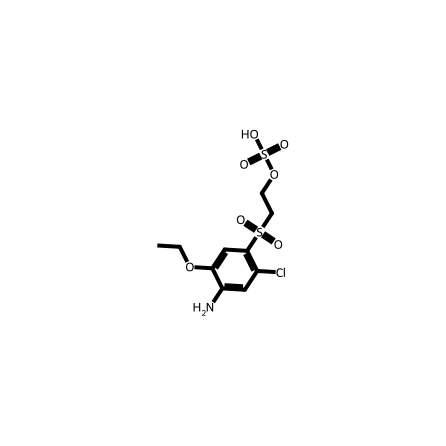 CCOc1cc(S(=O)(=O)CCOS(=O)(=O)O)c(Cl)cc1N